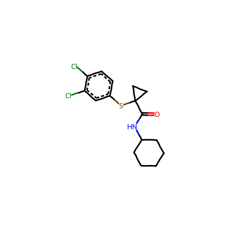 O=C(NC1CCCCC1)C1(Sc2ccc(Cl)c(Cl)c2)CC1